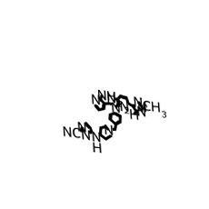 [2H]c1nn(C)nc1-c1ccc2nc(-c3cccnc3N)n(-c3ccc(CN4CCC(Nc5ccnc(C#N)n5)CC4)cc3)c2n1